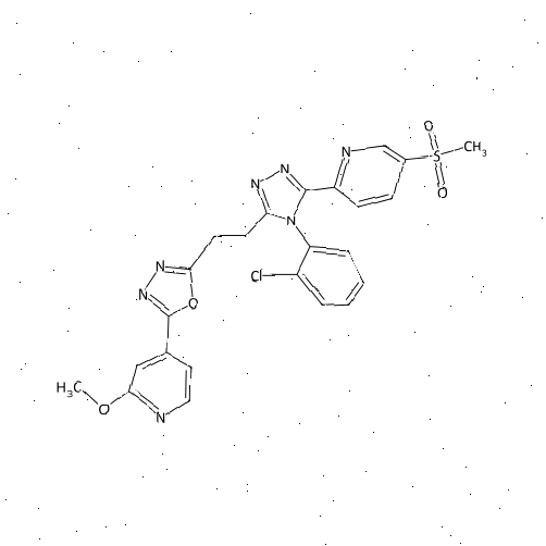 COc1cc(-c2nnc(CCc3nnc(-c4ccc(S(C)(=O)=O)cn4)n3-c3ccccc3Cl)o2)ccn1